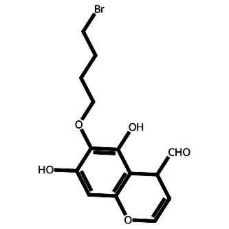 O=CC1C=COc2cc(O)c(OCCCCBr)c(O)c21